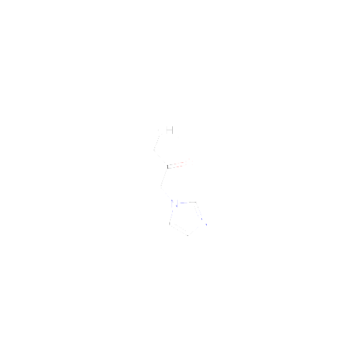 CCC(=O)Cn1ccnc1